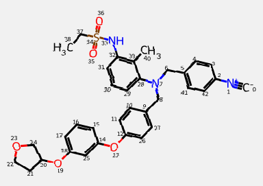 [C-]#[N+]c1ccc(CN(Cc2ccc(Oc3cccc(OC4CCOC4)c3)cc2)c2cccc(NS(=O)(=O)CC)c2C)cc1